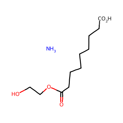 N.O=C(O)CCCCCCCC(=O)OCCO